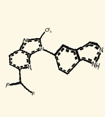 FC(F)c1ccc2nc(C(F)(F)F)n(-c3ccc4[nH]ncc4c3)c2n1